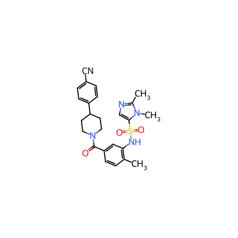 Cc1ccc(C(=O)N2CCC(c3ccc(C#N)cc3)CC2)cc1NS(=O)(=O)c1cnc(C)n1C